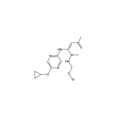 C=C(C)/C=C(/Nc1cnc(OC2CC2)cn1)N(C)NCOCC